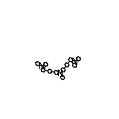 c1ccc(N(c2ccc(-c3ccc(-c4cccc5c4c4ccccc4n5-c4ccccc4)cc3)cc2)c2ccc(-c3ccc(-c4cccc5c4c4ccccc4n5-c4ccccc4)cc3)cc2)cc1